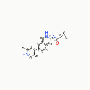 CC1=CC(c2ccc3c(c2)=CNC(NC(=O)C2CC2)C=3)=CCN1